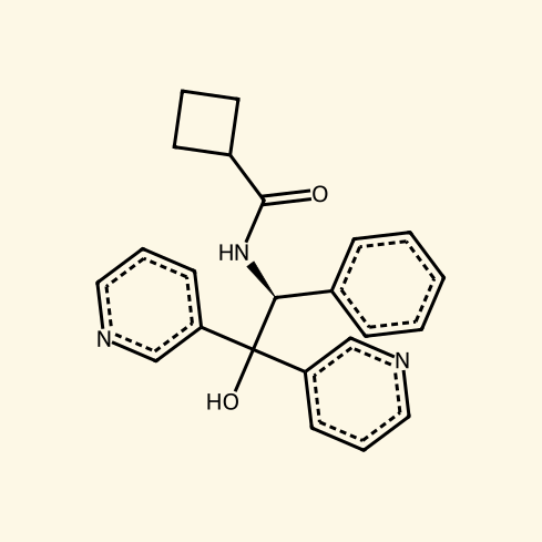 O=C(N[C@@H](c1ccccc1)C(O)(c1cccnc1)c1cccnc1)C1CCC1